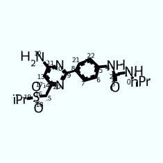 CCCNC(=O)Nc1ccc(-c2nc(N)cc(CS(=O)(=O)C(C)C)n2)cc1